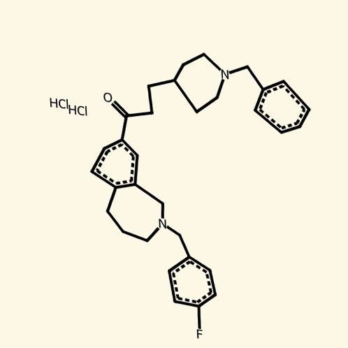 Cl.Cl.O=C(CCC1CCN(Cc2ccccc2)CC1)c1ccc2c(c1)CN(Cc1ccc(F)cc1)CCC2